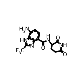 Nc1ccc(C(=O)NC2CCC(=O)NC2=O)c2nc(C(F)(F)F)[nH]c12